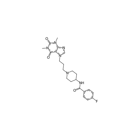 Cn1c(=O)c2c(ncn2CCCN2CCC(NC(=O)c3ccc(F)cc3)CC2)n(C)c1=O